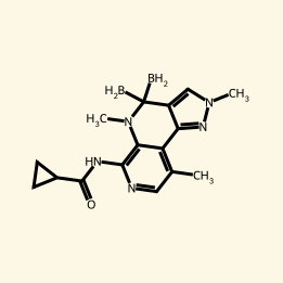 BC1(B)c2cn(C)nc2-c2c(C)cnc(NC(=O)C3CC3)c2N1C